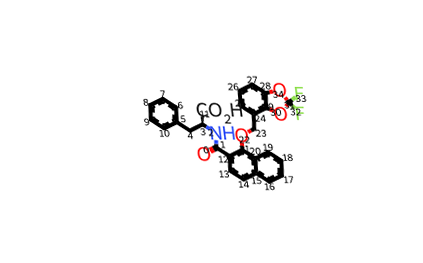 O=C(N[C@@H](Cc1ccccc1)C(=O)O)c1ccc2ccccc2c1OCc1cccc2c1OC(F)(F)O2